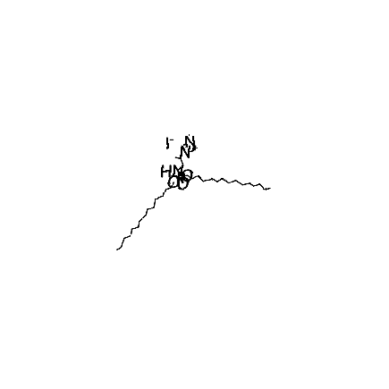 CCCCCCCCCCCCCCOP(=O)(NCC(C)[n+]1ccn(C)c1)OCCCCCCCCCCCCCC.[I-]